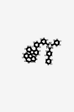 c1ccc(-c2ccc(-c3nc(-c4ccccc4)nc(-c4cccc(-c5cccc(-c6cccc7c6-c6ccccc6C76c7cccc8ccc9cccc6c9c78)c5)c4)n3)cc2)cc1